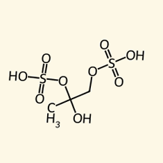 CC(O)(COS(=O)(=O)O)OS(=O)(=O)O